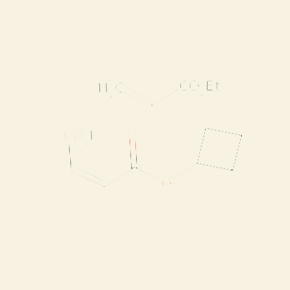 C=CC(=O)OCC.O=C(O)/C=C\C(=O)OC1CCC1